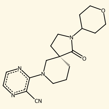 N#Cc1nccnc1N1CCC[C@@]2(CCN(C3CCOCC3)C2=O)C1